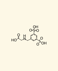 O=C(O)CNCc1cc(S(=O)(=O)O)cc(S(=O)(=O)O)c1